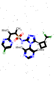 COc1ncnc(OC)c1-n1c(NS(=O)(=O)C(C)C(OC)c2ncc(Cl)cn2)nnc1[C@@H]1CC[C@@H]1C(F)F